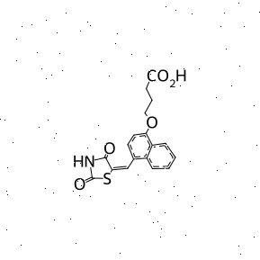 O=C(O)CCCOc1ccc(/C=C2/SC(=O)NC2=O)c2ccccc12